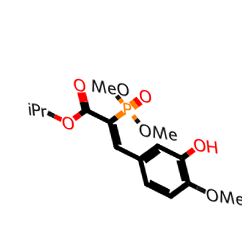 COc1ccc(C=C(C(=O)OC(C)C)P(=O)(OC)OC)cc1O